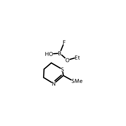 CCOB(O)F.CSC1=NCCCS1